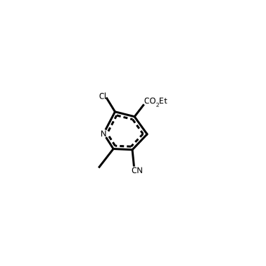 CCOC(=O)c1cc(C#N)c(C)nc1Cl